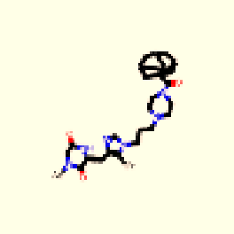 CC(=O)N1CC(=O)N/C(=C\c2ncn(CCCN3CCN(C(=O)C45CC6CC(CC(C6)C4)C5)CC3)c2C(C)C)C1=O